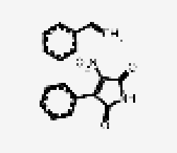 C=Cc1ccccc1.O=C1NC(=O)C([N+](=O)[O-])=C1c1ccccc1